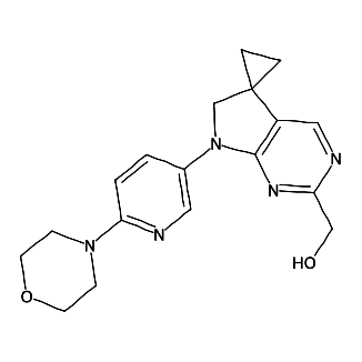 OCc1ncc2c(n1)N(c1ccc(N3CCOCC3)nc1)CC21CC1